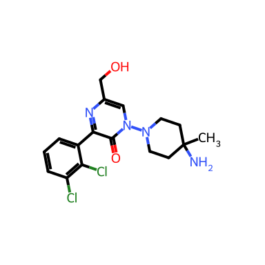 CC1(N)CCN(n2cc(CO)nc(-c3cccc(Cl)c3Cl)c2=O)CC1